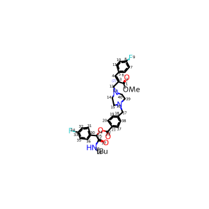 COC(=O)/C(=C\c1ccc(F)cc1)CN1CCN(Cc2ccc(C(=O)OC(C(=O)NC(C)(C)C)c3ccc(F)cc3)cc2)CC1